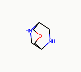 C1NC2CNC1COC2